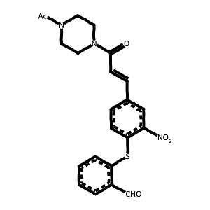 CC(=O)N1CCN(C(=O)C=Cc2ccc(Sc3ccccc3C=O)c([N+](=O)[O-])c2)CC1